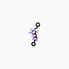 O=C1NC(=O)N(CCC2=CCCCC2)C(=O)/C1=C/c1cnc(-c2ccccc2)nc1